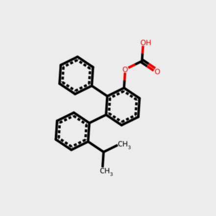 CC(C)c1ccccc1-c1cccc(OC(=O)O)c1-c1ccccc1